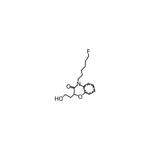 O=C1C(CCO)Oc2ccccc2N1CCCCCCF